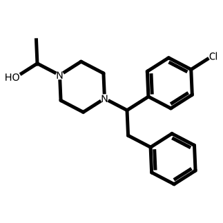 C[C](O)N1CCN(C(Cc2ccccc2)c2ccc(Cl)cc2)CC1